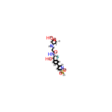 C[C@@H]1C[C@H](N(C)CCC(=O)N[C@H](CF)[C@H](O)c2ccc(-c3ccc(S(C)(=O)=O)nc3)cc2)C[C@H](O)O1